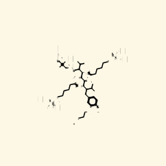 COCCCOc1cc(CC(CC(NC(=O)CCCCCON(O)O)C(CC(C(=O)NCC(C)(C)C(N)=O)C(C)C)OC(=O)CCCCCON(O)O)C(C)C)ccc1OC